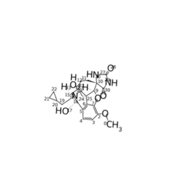 COc1ccc2c3c1O[C@@H]1[C@]4(CC[C@]5(O)[C@H]([C@H]2O)N(CC2CC2)CC[C@@]315)NC(=O)NC4=O